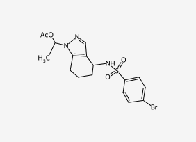 CC(=O)OC(C)n1ncc2c1CCCC2NS(=O)(=O)c1ccc(Br)cc1